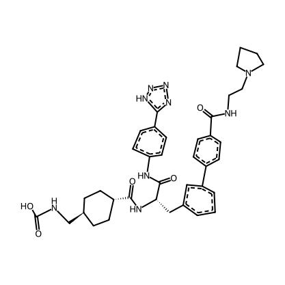 O=C(O)NC[C@H]1CC[C@H](C(=O)N[C@@H](Cc2cccc(-c3ccc(C(=O)NCCN4CCCC4)cc3)c2)C(=O)Nc2ccc(-c3nnn[nH]3)cc2)CC1